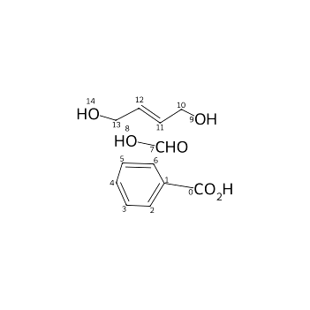 O=C(O)c1ccccc1.O=CO.OCC=CCO